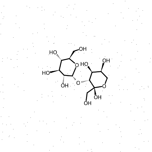 OC[C@H]1O[C@H](O[C@@H]2[C@@H](O)[C@@H](O)CO[C@]2(O)CO)[C@H](O)[C@@H](O)[C@@H]1O